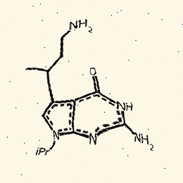 CC(CCN)c1cn(C(C)C)c2nc(N)[nH]c(=O)c12